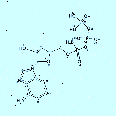 BP(=O)(OCC1CC(O)C(n2cnc3c(N)ncnc32)O1)OP(=O)(O)OP(=O)(O)O